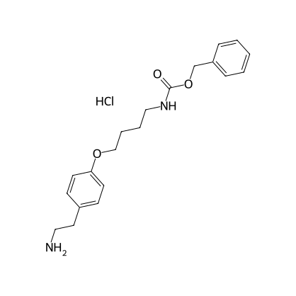 Cl.NCCc1ccc(OCCCCNC(=O)OCc2ccccc2)cc1